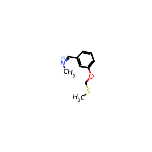 C/N=C\c1cccc(OCSC)c1